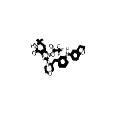 CC1(C)CC2=C(SC(N3CCOCC3Cc3cccc(Nc4ccc5c(c4)CCO5)c3)N2OC(=O)C(F)(F)F)C(=O)N1